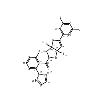 Cc1cc(C)nc(C2=C[C@@H]3CN(C(=O)c4c(F)cccc4-n4nccn4)C[C@@H]3C2)n1